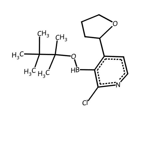 CC(C)(C)C(C)(C)OBc1c(C2CCCO2)ccnc1Cl